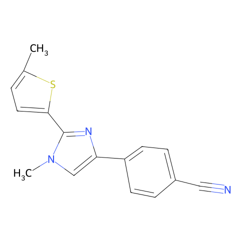 Cc1ccc(-c2nc(-c3ccc(C#N)cc3)cn2C)s1